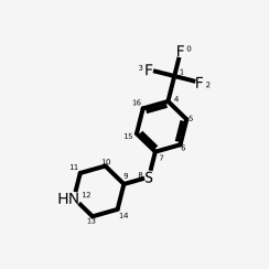 FC(F)(F)c1ccc(SC2CCNCC2)cc1